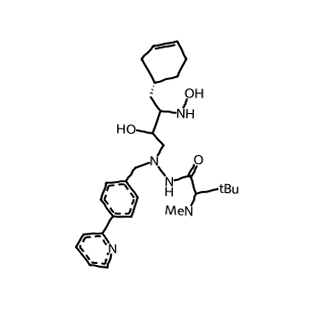 CNC(C(=O)NN(Cc1ccc(-c2ccccn2)cc1)CC(O)C(C[C@@H]1CC=CCC1)NO)C(C)(C)C